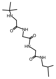 CC(C)CNC(=O)CNC(=O)CNC(=O)CNC(C)(C)C